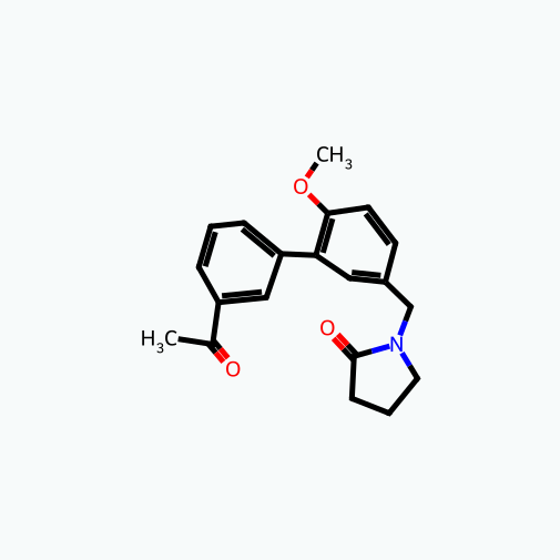 COc1ccc(CN2CCCC2=O)cc1-c1cccc(C(C)=O)c1